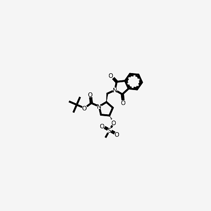 CC(C)(C)OC(=O)N1C[C@@H](OS(C)(=O)=O)C[C@@H]1CN1C(=O)c2ccccc2C1=O